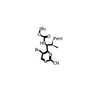 CCC[C@H](C)[C@@H](C)C(NC(=O)OC(C)(C)C)c1nc(C#N)ncc1Br